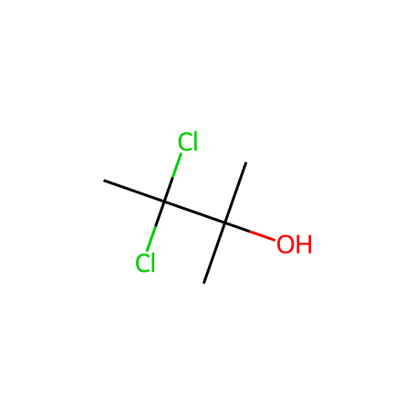 CC(C)(O)C(C)(Cl)Cl